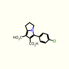 O=C(O)c1c(C(=O)O)c(-c2ccc(Cl)cc2)n2c1CCC2